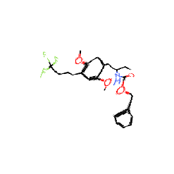 CCC(Cc1cc(OC)c(CCCC(F)(F)F)cc1OC)NC(=O)OCc1ccccc1